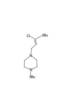 CC(C)(C)/C(Cl)=C/CN1CCN(C(C)(C)C)CC1